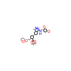 COc1ccc(CNc2nnc(C)c3cc(-c4ccc(CCOC5CCCCO5)c(B5OC(C)(C)C(C)(C)O5)c4)ccc23)c(OC)c1